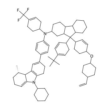 C=CC1CCC(OC2C=CC(C3(C4C=CC(C(C)(C)C)=CC4)C4CCCCC4C4CCC(N(c5ccc(C6=CC7=C(CC6)N(C6CCCCC6)C6=CCC[C@H](C)C67)cc5)C5CC=C(C(F)(F)F)CC5)CC43)CC2)CC1